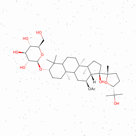 CC(=O)O[C@H]1CC2[C@@]3(C)CC[C@H](O[C@@H]4O[C@H](CO)[C@@H](O)[C@H](O)[C@H]4O)C(C)(C)C3CC[C@@]2(C)[C@@]2(C)CC[C@](O)([C@]3(C)CC[C@H](C(C)(C)O)O3)[C@H]12